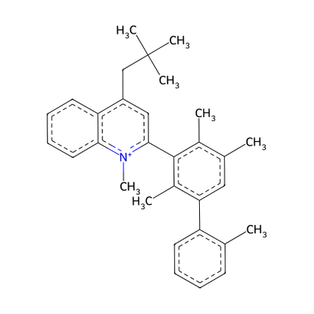 Cc1ccccc1-c1cc(C)c(C)c(-c2cc(CC(C)(C)C)c3ccccc3[n+]2C)c1C